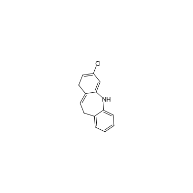 ClC1=CCC2=CCc3ccccc3NC2=C1